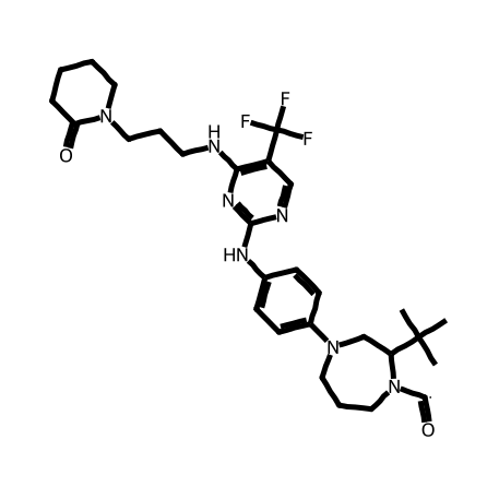 CC(C)(C)C1CN(c2ccc(Nc3ncc(C(F)(F)F)c(NCCCN4CCCCC4=O)n3)cc2)CCCN1[C]=O